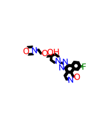 O=C1N=CC=c2c1c1cc(F)ccc1c1c2=NC(N2CCC(O)(COCCN3CCOCC3)CC2)=N1